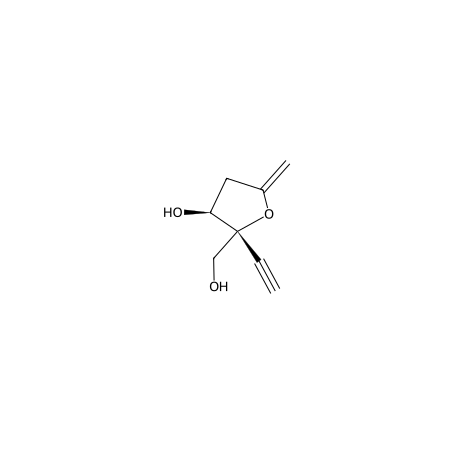 C#C[C@]1(CO)OC(=C)C[C@@H]1O